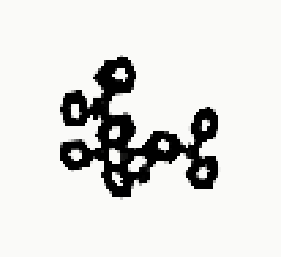 c1ccc(N(c2ccccc2)c2ccc3c(c2)Sc2cccc4c2B3c2ccc(N(c3ccccc3)c3ccccc3)cc2N4c2ccccc2)cc1